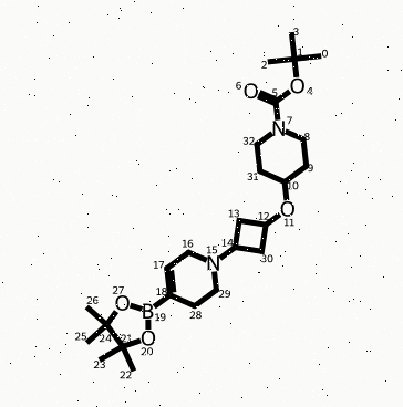 CC(C)(C)OC(=O)N1CCC(OC2CC(N3CC=C(B4OC(C)(C)C(C)(C)O4)CC3)C2)CC1